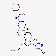 CCCCCCCCCCCCC1=C2C3=C(C=C[C@]2(C)C(n2cnc(C#N)c2)=C1)[C@]1(C)CC=C(NC(=O)c2ccnnc2)C=C1C=C3